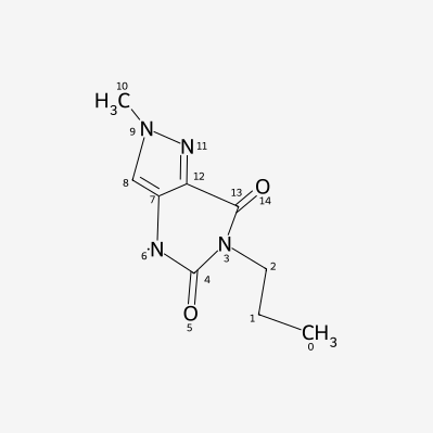 CCCN1C(=O)[N]c2cn(C)nc2C1=O